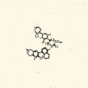 COC(=O)[C@H](Cc1ccc(-c2cc3c(n(C)c2=O)CCN(C)C3)c2ncccc12)NC(=O)c1c(F)cc(N2CCOC[C@@H]2C(F)(F)F)cc1F